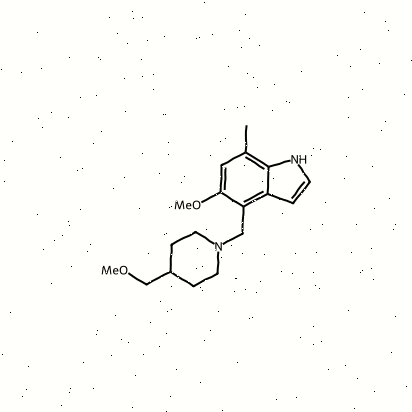 COCC1CCN(Cc2c(OC)cc(C)c3[nH]ccc23)CC1